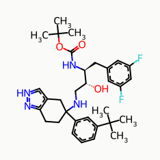 CC(C)(C)OC(=O)N[C@@H](Cc1cc(F)cc(F)c1)[C@H](O)CNC1(c2cccc(C(C)(C)C)c2)CCc2n[nH]cc2C1